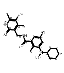 CCN(c1cc(Cl)cc(C(=O)NCc2c(C)c(F)c(C)[nH]c2=O)c1C)C1CCCCC1